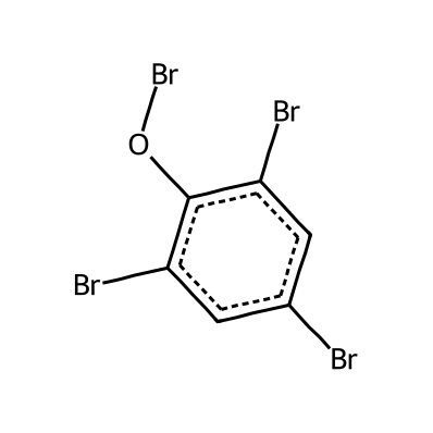 BrOc1c(Br)cc(Br)cc1Br